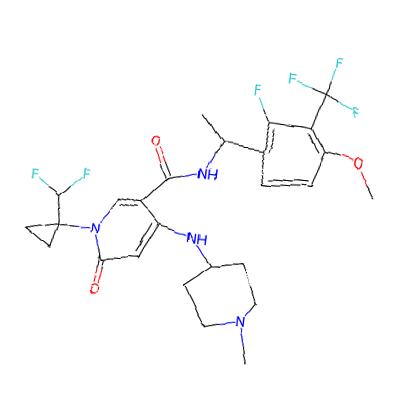 COc1ccc(C(C)NC(=O)c2cn(C3(C(F)F)CC3)c(=O)cc2NC2CCN(C)CC2)c(F)c1C(F)(F)F